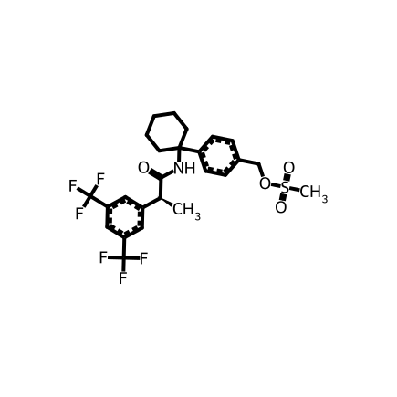 C[C@H](C(=O)NC1(c2ccc(COS(C)(=O)=O)cc2)CCCCC1)c1cc(C(F)(F)F)cc(C(F)(F)F)c1